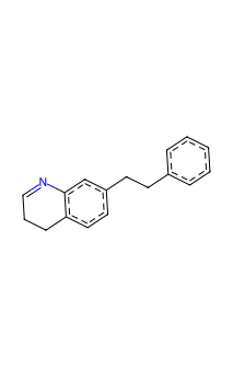 C1=Nc2cc(CCc3ccccc3)ccc2CC1